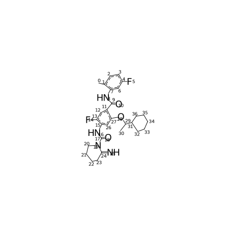 Cc1ccc(F)cc1NC(=O)c1cc(F)c(NC(=O)N2CCCCC2=N)cc1OC(C)C1CCCCC1